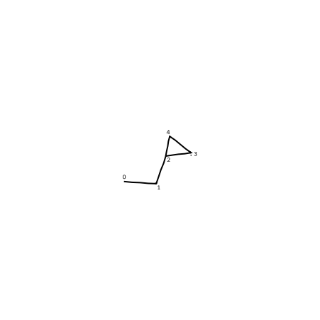 CCC1[CH]C1